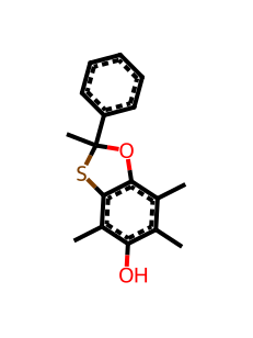 Cc1c(C)c2c(c(C)c1O)SC(C)(c1ccccc1)O2